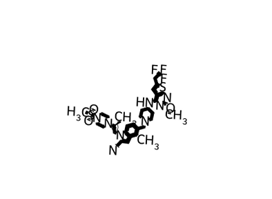 CC[C@@H](Cn1c(C#N)cc2c(C)c(CN3CCC(Nc4nc(OC)nc5sc(CC(F)(F)F)cc45)CC3)ccc21)N1CCN(S(C)(=O)=O)CC1